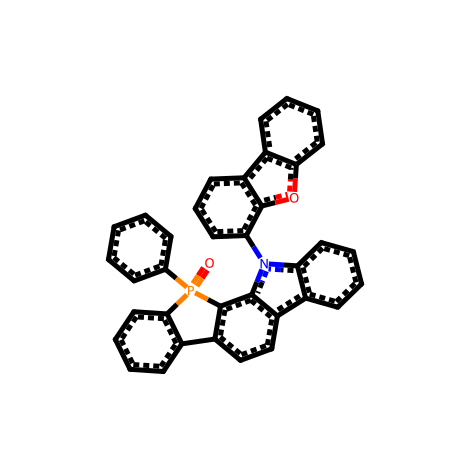 O=P1(c2ccccc2)c2ccccc2-c2ccc3c4ccccc4n(-c4cccc5c4oc4ccccc45)c3c21